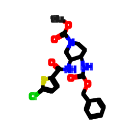 CC(C)(C)OC(=O)N1CC[C@@H](NC(=O)OCc2ccccc2)[C@@H](NC(=O)c2ccc(Cl)s2)C1